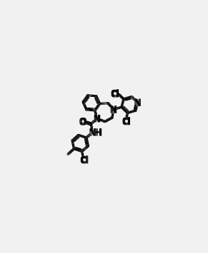 Cc1ccc(NC(=O)N2CCN(c3c(Cl)cncc3Cl)Cc3ccccc32)cc1Cl